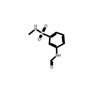 CNS(=O)(=O)c1cccc(N[C]=O)c1